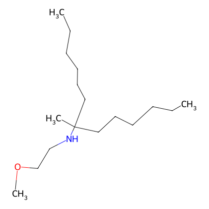 CCCCCCC(C)(CCCCCC)NCCOC